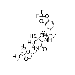 CC1(C)OCC(CNC(=O)C(NC(=O)C2(c3ccc4c(c3)OC(F)(F)O4)CC2)C(C)(C)S)O1